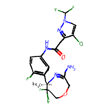 C[C@]1(c2cc(NC(=O)c3nn(C(F)F)cc3Cl)ccc2F)N=C(N)COCC1(F)F